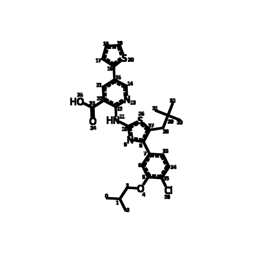 CC(C)COc1cc(-c2nc(Nc3ncc(-c4cccs4)cc3C(=O)O)sc2CC(C)(C)C)ccc1Cl